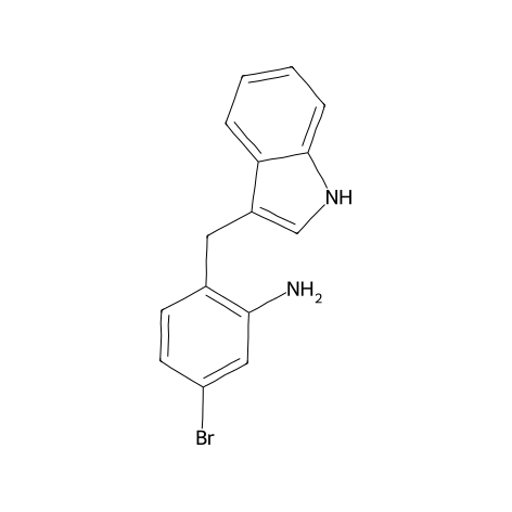 Nc1cc(Br)ccc1Cc1c[nH]c2ccccc12